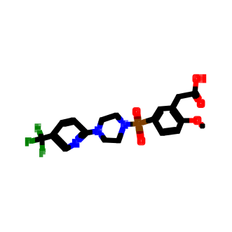 COc1ccc(S(=O)(=O)N2CCN(c3ccc(C(F)(F)F)cn3)CC2)cc1CC(=O)O